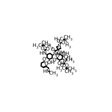 CNCC1=CCC[C@@H](O[C@H]2[C@H](O)[C@@H](O[C@H]3OC[C@](C)(O)[C@H](N(C)C(=O)OC(C)(C)C)[C@H]3O)[C@H](NC(=O)C3(O)CN(C(=O)OC(C)(C)C)C3)C[C@@H]2NC(=O)OC(C)(C)C)O1